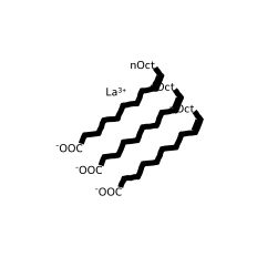 CCCCCCCC/C=C\CCCCCCCC(=O)[O-].CCCCCCCC/C=C\CCCCCCCC(=O)[O-].CCCCCCCC/C=C\CCCCCCCC(=O)[O-].[La+3]